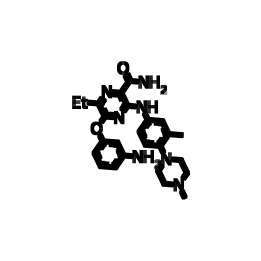 CCc1nc(C(N)=O)c(Nc2ccc(N3CCN(C)CC3)c(C)c2)nc1Oc1cccc(N)c1